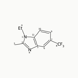 CCn1c(C)nc2cc(C(F)(F)F)ccc21